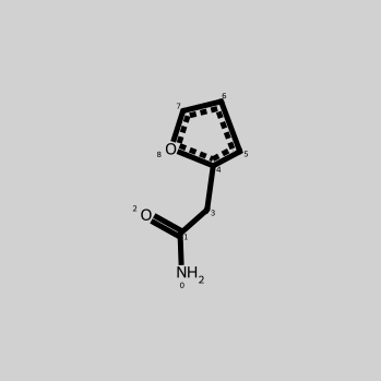 NC(=O)[CH]c1ccco1